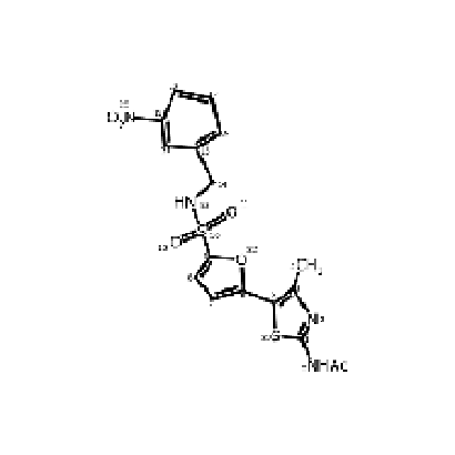 CC(=O)Nc1nc(C)c(-c2ccc(S(=O)(=O)NCc3cccc([N+](=O)[O-])c3)o2)s1